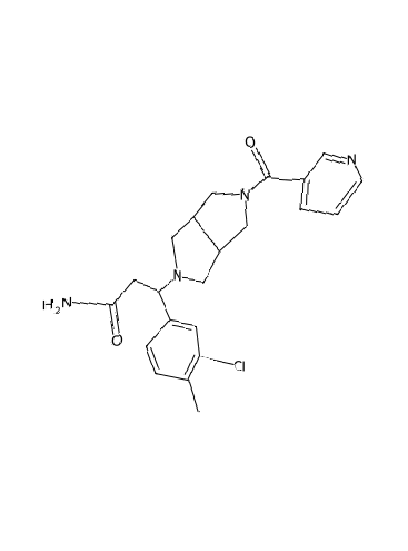 Cc1ccc(C(CC(N)=O)N2CC3CN(C(=O)c4cccnc4)CC3C2)cc1Cl